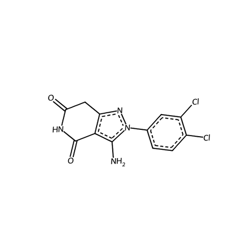 Nc1c2c(nn1-c1ccc(Cl)c(Cl)c1)CC(=O)NC2=O